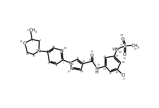 CC1CN(c2ccc(-n3cc(C(=O)Nc4cc(Cl)cc(NS(C)(=O)=O)c4)cn3)nc2)CCO1